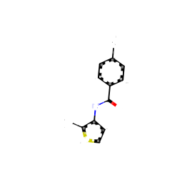 O=C(Nc1ccsc1C(=O)O)c1ccc([N+](=O)[O-])cc1